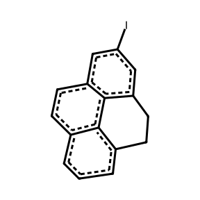 Ic1cc2c3c(ccc4cccc(c43)CC2)c1